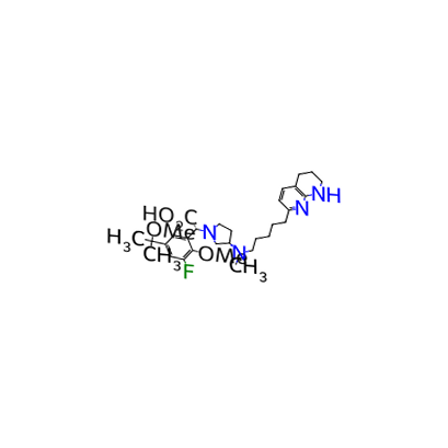 COc1c(F)cc(C(C)(C)OC)cc1[C@H](C(=O)O)N1CC[C@@H](N(C)CCCCCc2ccc3c(n2)NCCC3)C1